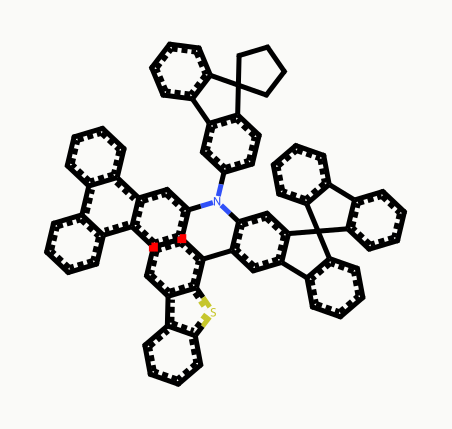 c1ccc2c(c1)-c1cc(N(c3ccc4c5ccccc5c5ccccc5c4c3)c3cc4c(cc3-c3cccc5c3sc3ccccc35)-c3ccccc3C43c4ccccc4-c4ccccc43)ccc1C21CCCC1